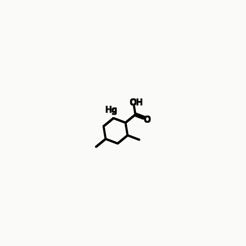 CC1CCC(C(=O)O)C(C)C1.[Hg]